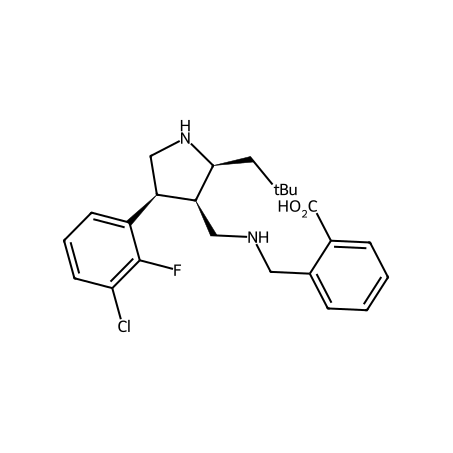 CC(C)(C)C[C@@H]1NC[C@H](c2cccc(Cl)c2F)[C@@H]1CNCc1ccccc1C(=O)O